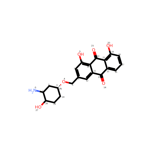 NC1C[C@H](OCc2cc(O)c3c(c2)C(=O)c2cccc(O)c2C3=O)CCC1O